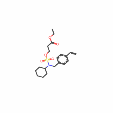 C=Cc1ccc(CN(C2CCCCC2)S(=O)(=O)OCCC(=O)OCC)cc1